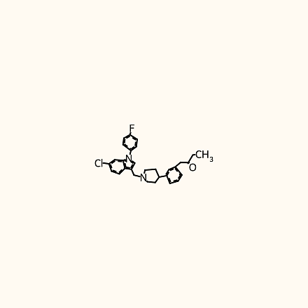 CCC(=O)Cc1cccc(C2CCN(Cc3cn(-c4ccc(F)cc4)c4cc(Cl)ccc34)CC2)c1